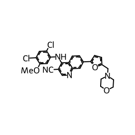 COc1cc(Nc2c(C#N)cnc3cc(-c4ccc(CN5CCOCC5)o4)ccc23)c(Cl)cc1Cl